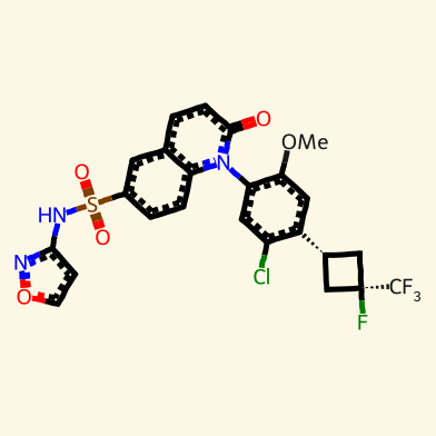 COc1cc([C@H]2C[C@@](F)(C(F)(F)F)C2)c(Cl)cc1-n1c(=O)ccc2cc(S(=O)(=O)Nc3ccon3)ccc21